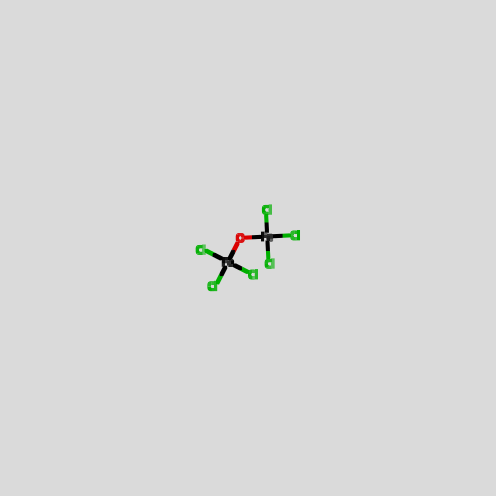 [Cl][Fe]([Cl])([Cl])[O][Fe]([Cl])([Cl])[Cl]